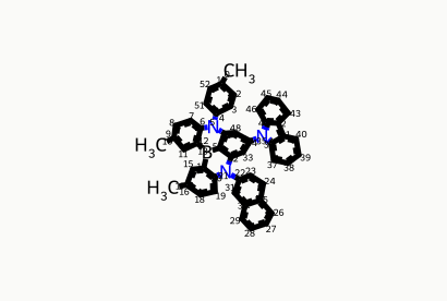 Cc1ccc(N2c3ccc(C)cc3B3c4cc(C)ccc4N(c4ccc5ccccc5c4)c4cc(-n5c6ccccc6c6ccccc65)cc2c43)cc1